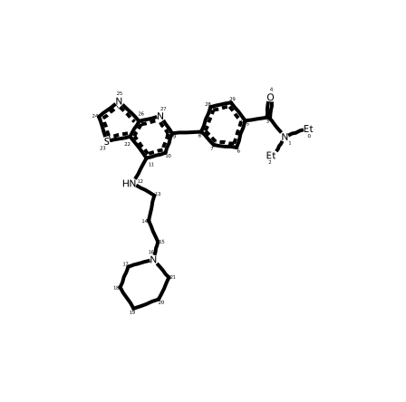 CCN(CC)C(=O)c1ccc(-c2cc(NCCCN3CCCCC3)c3scnc3n2)cc1